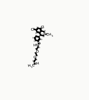 CNCCOCCOCCNOc1cccc([C@@H]2CN(C)Cc3c(Cl)cc(Cl)cc32)c1